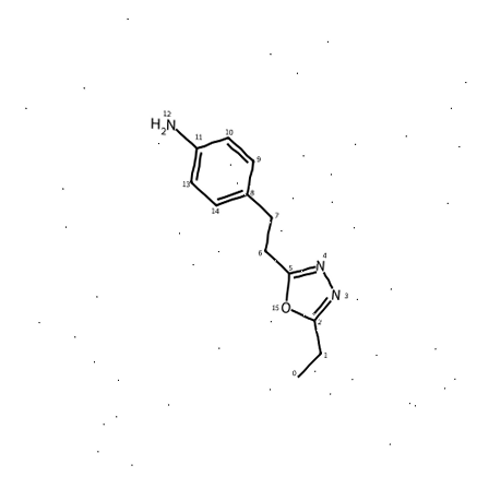 CCc1nnc(CCc2ccc(N)cc2)o1